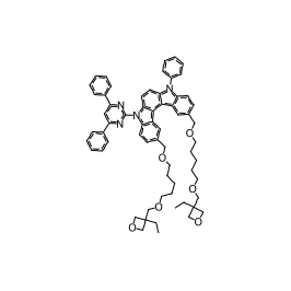 CCC1(COCCCCCOCc2ccc3c(c2)c2c4c5cc(COCCCCCOCC6(CC)COC6)ccc5n(-c5nc(-c6ccccc6)cc(-c6ccccc6)n5)c4ccc2n3-c2ccccc2)COC1